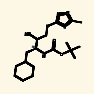 Cc1nnc(SCC(O)[C@H](CC2CCCCC2)NC(=O)OC(C)(C)C)s1